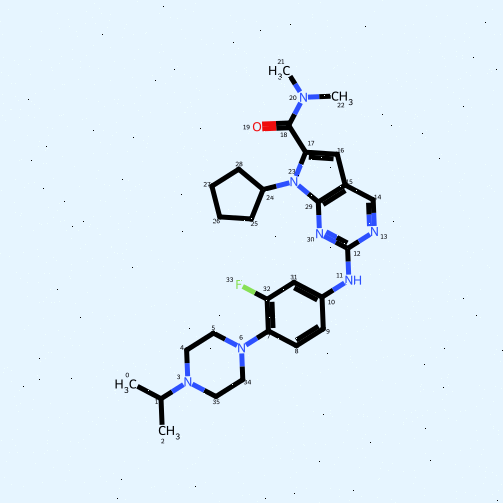 CC(C)N1CCN(c2ccc(Nc3ncc4cc(C(=O)N(C)C)n(C5CCCC5)c4n3)cc2F)CC1